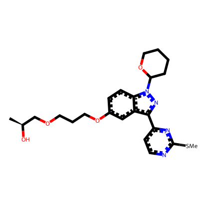 CSc1nccc(-c2nn(C3CCCCO3)c3ccc(OCCCOC[C@H](C)O)cc23)n1